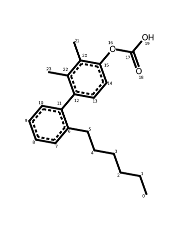 CCCCCCc1ccccc1-c1ccc(OC(=O)O)c(C)c1C